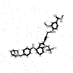 CNC(=O)c1ccc(NCC#Cc2cc3c(Nc4ccc(CN5CC6CC(C5)O6)cc4)cccc3n2CC(F)(F)F)c(OC)c1